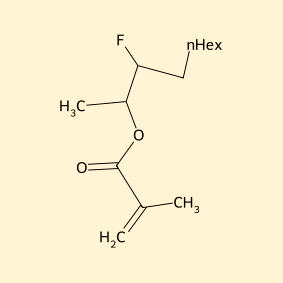 C=C(C)C(=O)OC(C)C(F)CCCCCCC